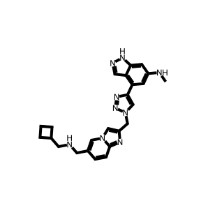 CNc1cc(-c2cn(Cc3cn4cc(CNCC5CCC5)ccc4n3)nn2)c2cn[nH]c2c1